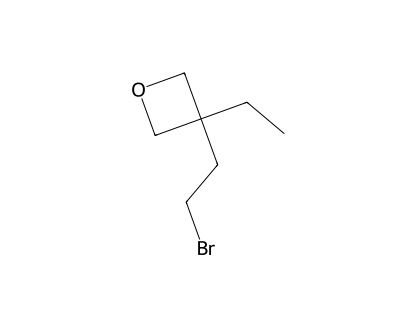 CCC1(CCBr)COC1